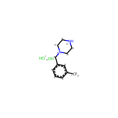 Cl.Cl.FC(F)(F)c1cccc(CN2CCNCC2)c1